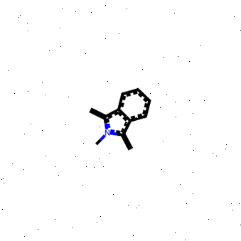 C=c1c2ccccc2c(=C)n1C